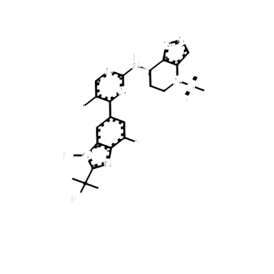 CC(C)n1c(C(C)(C)O)nc2c(F)cc(-c3nc(N[C@@H]4CCN(S(C)(=O)=O)c5cn[nH]c54)ncc3Cl)cc21